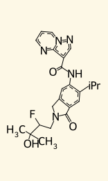 CC(C)c1cc2c(cc1NC(=O)c1cnn3cccnc13)CN(CC(F)C(C)(C)O)C2=O